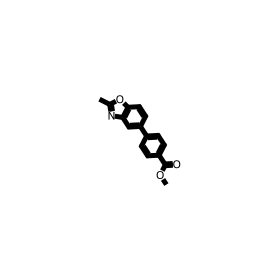 COC(=O)c1ccc(-c2ccc3oc(C)nc3c2)cc1